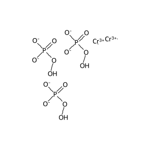 O=P([O-])([O-])OO.O=P([O-])([O-])OO.O=P([O-])([O-])OO.[Cr+3].[Cr+3]